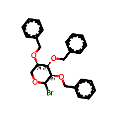 BrC1OC[C@@H](OCc2ccccc2)[C@H](OCc2ccccc2)[C@H]1OCc1ccccc1